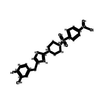 O=[N+]([O-])c1ccc(S(=O)(=O)N2CCN(c3nc(Cc4ccc(F)c(Cl)c4)cs3)CC2)cc1